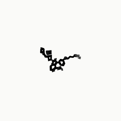 CCCCOc1cccc(-c2nc([C@H]3C[C@](O)(CN4CCC4)C3)n3ccnc(N)c23)c1